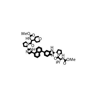 COC(=O)N[C@H](C(=O)N1CCC[C@H]1c1nc2ccc(-c3cccc4c(-c5cnc([C@@H]6CCCN6C(=O)[C@@H](NC(=O)OC)C6CCOCC6)[nH]5)cccc34)cc2[nH]1)C(C)C